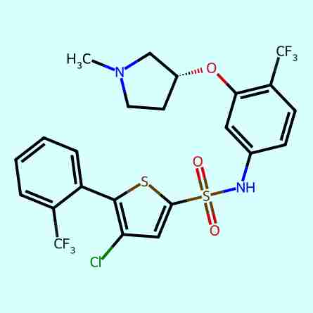 CN1CC[C@@H](Oc2cc(NS(=O)(=O)c3cc(Cl)c(-c4ccccc4C(F)(F)F)s3)ccc2C(F)(F)F)C1